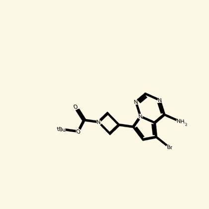 CC(C)(C)OC(=O)N1CC(c2cc(Br)c3c(N)ncnn23)C1